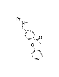 CC(C)N(C)Cc1ccc(P(C)(=O)Oc2ccccc2)cc1